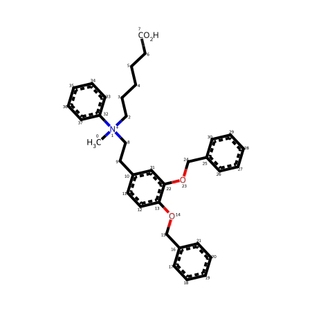 C[N+](CCCCCC(=O)O)(CCc1ccc(OCc2ccccc2)c(OCc2ccccc2)c1)c1ccccc1